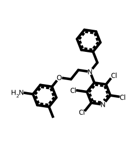 Cc1cc(N)cc(OCCN(Cc2ccccc2)c2c(Cl)c(Cl)nc(Cl)c2Cl)c1